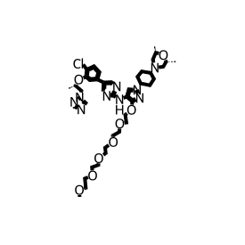 COCCOCCOCCOCCOCCOc1nn([C@H]2CC[C@H](N3C[C@@H](C)O[C@@H](C)C3)CC2)cc1Nc1ncc(-c2ccc(Cl)c(O[C@@H](C)Cn3cncn3)c2)cn1